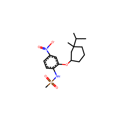 CC(C)C1(C)CCCC(Oc2cc([N+](=O)[O-])ccc2NS(C)(=O)=O)C1